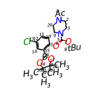 CC(=O)N1CCN(C(=O)OC(C)(C)C)[C@H](c2cc(Cl)cc(B3OC(C)(C)C(C)(C)O3)c2)C1